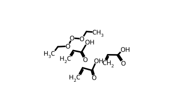 C=CC(=O)O.C=CC(=O)O.C=CC(=O)O.CCOOOCC